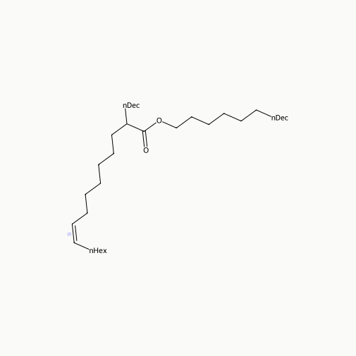 CCCCCC/C=C\CCCCCCC(CCCCCCCCCC)C(=O)OCCCCCCCCCCCCCCCC